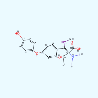 CPC(c1ccc(Oc2ccc(O)cc2)cc1)[C@@](C(C)=O)(C(=O)O)N(I)I